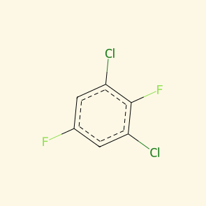 Fc1cc(Cl)c(F)c(Cl)c1